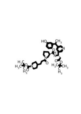 CC(c1cccc(O)c1)c1cncc([C@H](CC(=O)OC(C)(C)C)NC(=O)[C@@H]2CCCN(C(=O)CCC3CCN(C(=O)OC(C)(C)C)CC3)C2)c1